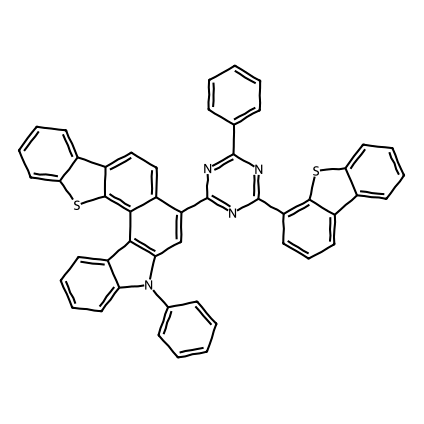 c1ccc(-c2nc(-c3cc4c(c5ccccc5n4-c4ccccc4)c4c3ccc3c5ccccc5sc34)nc(-c3cccc4c3sc3ccccc34)n2)cc1